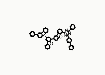 c1ccc(-c2ccc(-c3nc(-c4ccccc4)nc(-c4cccc5c4oc4ccc(-c6cc(-n7c8ccccc8c8cc(-c9ccccc9)ccc87)cc7c6oc6ccccc67)cc45)n3)cc2)cc1